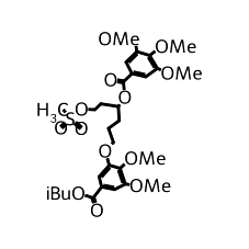 COc1cc(C(=O)OC(CCCOc2cc(C(=O)OCC(C)C)cc(OC)c2OC)CCOS(C)(=O)=O)cc(OC)c1OC